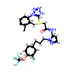 Cc1cccc(-n2nnnc2SCC(=O)Nc2ccnn2CCCc2ccc(OC(F)(F)F)c(F)c2)c1C